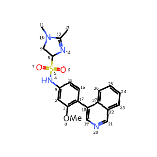 COc1cc(NS(=O)(=O)C2CN(C)C(C)=N2)ccc1-c1cncc2ccccc12